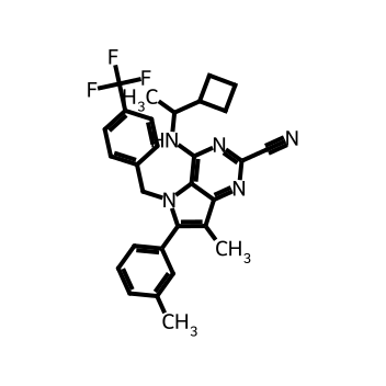 Cc1cccc(-c2c(C)c3nc(C#N)nc(NC(C)C4CCC4)c3n2Cc2ccc(C(F)(F)F)cc2)c1